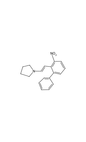 O=[N+]([O-])c1cccc(-c2ccccc2)c1/C=C/N1CCCC1